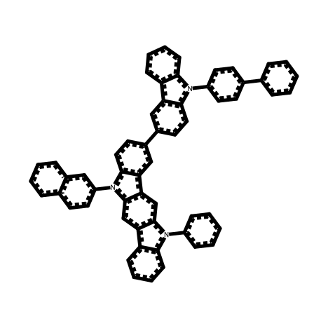 c1ccc(-c2ccc(-n3c4ccccc4c4cc(-c5ccc6c(c5)c5cc7c(cc5n6-c5ccc6ccccc6c5)c5ccccc5n7-c5ccccc5)ccc43)cc2)cc1